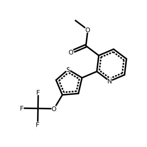 COC(=O)c1cccnc1-c1cc(OC(F)(F)F)cs1